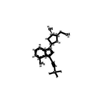 C[Si](C)(C)C#Cc1cn([C@H]2C[C@H](O)[C@@H](CO)O2)c2ncnc(N)c12